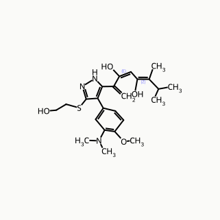 C=C(/C(O)=C\C(O)=C(/C)C(C)C)c1[nH]nc(SCCO)c1-c1ccc(OC)c(N(C)C)c1